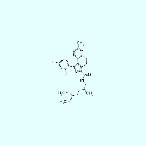 CCC(CC)CCC(C)CNC(=O)c1nn(-c2ccc(F)cc2F)c2c1CCc1cc(C)ccc1-2